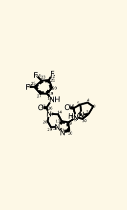 CN1C2CCC1C(=O)N(c1cnn3c1CN(C(=O)Nc1cc(F)c(F)c(F)c1)CC3)C2